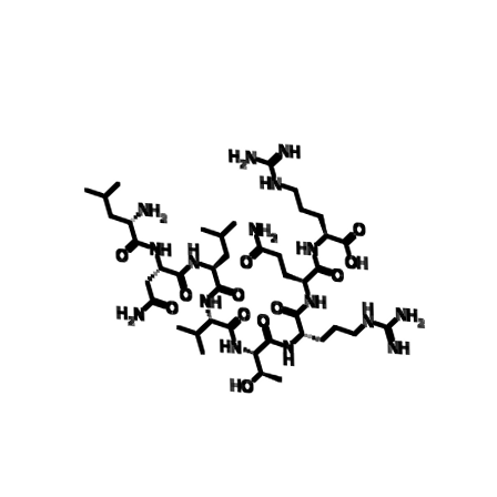 CC(C)C[C@H](NC(=O)[C@H](CC(N)=O)NC(=O)[C@@H](N)CC(C)C)C(=O)N[C@H](C(=O)N[C@H](C(=O)N[C@@H](CCCNC(=N)N)C(=O)N[C@@H](CCC(N)=O)C(=O)N[C@@H](CCCNC(=N)N)C(=O)O)[C@@H](C)O)C(C)C